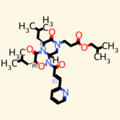 CC(C)COC(=O)CCN1C[C@@H]2N(C(=O)/C=C/c3ccccn3)O[C@H](CC(C)C)C(=O)N2[C@@H](CC(C)C)C1=O